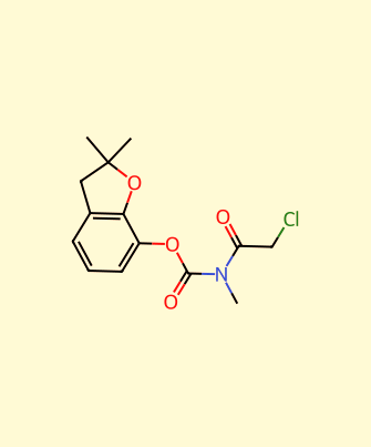 CN(C(=O)CCl)C(=O)Oc1cccc2c1OC(C)(C)C2